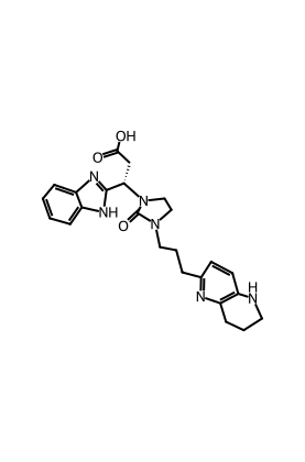 O=C(O)C[C@@H](c1nc2ccccc2[nH]1)N1CCN(CCCc2ccc3c(n2)CCCN3)C1=O